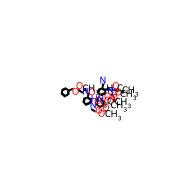 CC(=O)O[C@@H](C(=O)Nc1ccc(C#N)c(CN(C(=O)OC(C)(C)C)C(=O)OC(C)(C)C)c1)[C@H]1OCCN(c2cccc(C(=O)N(C)CC(=O)OCc3ccccc3)c2)C1=O